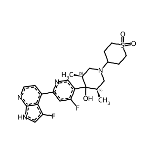 C[C@@H]1CN(C2CCS(=O)(=O)CC2)C[C@H](C)C1(O)c1cnc(-c2ccnc3[nH]cc(F)c23)cc1F